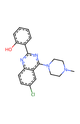 CN1CCN(c2nc(-c3ccccc3O)nc3ccc(Cl)cc23)CC1